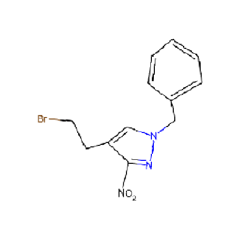 O=[N+]([O-])c1nn(Cc2ccccc2)cc1CCBr